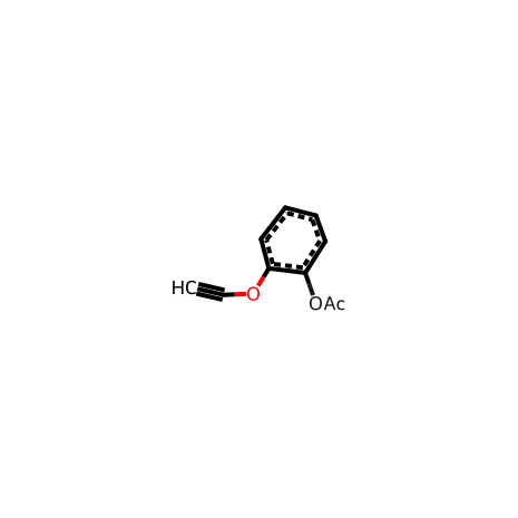 C#COc1ccccc1OC(C)=O